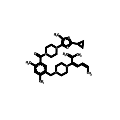 C=C(C)/C(=C\C=C/C)N1CCN(Cc2cc(C(=O)N3CCN(c4oc(C5CC5)nc4C)CC3)c(C)cc2C)CC1